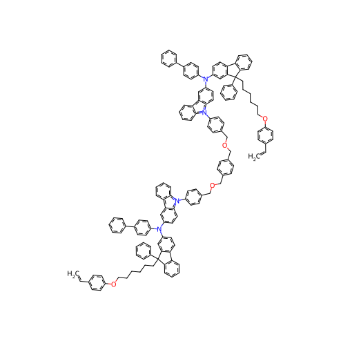 C=Cc1ccc(OCCCCCCC2(c3ccccc3)c3ccccc3-c3ccc(N(c4ccc(-c5ccccc5)cc4)c4ccc5c(c4)c4ccccc4n5-c4ccc(COCc5ccc(COCc6ccc(-n7c8ccccc8c8cc(N(c9ccc(-c%10ccccc%10)cc9)c9ccc%10c(c9)C(CCCCCCOc9ccc(C=C)cc9)(c9ccccc9)c9ccccc9-%10)ccc87)cc6)cc5)cc4)cc32)cc1